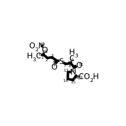 CC(CCC(=O)SC[C@@H](C)C(=O)N1CCC[C@H]1C(=O)O)O[N+](=O)[O-]